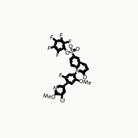 COc1cc(-c2cnc(OC)c(Cl)c2)c(F)cc1-n1c(=O)ccc2cc(S(=O)(=O)Oc3c(F)c(F)c(F)c(F)c3F)ccc21